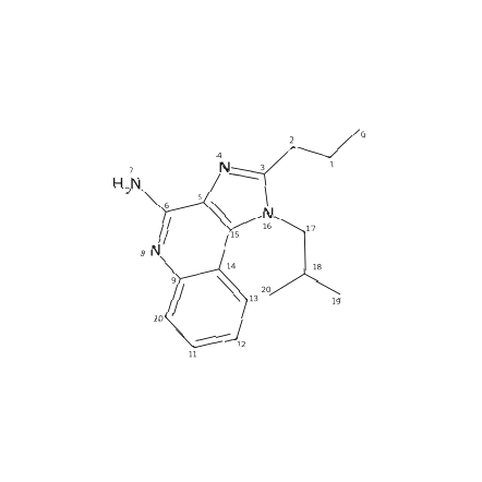 CCCc1nc2c(N)nc3ccccc3c2n1CC(C)C